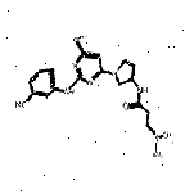 CCCc1cc(N2CCC(NC(=O)CCN(C)C)C2)nc(Nc2cccc(C#N)c2)n1